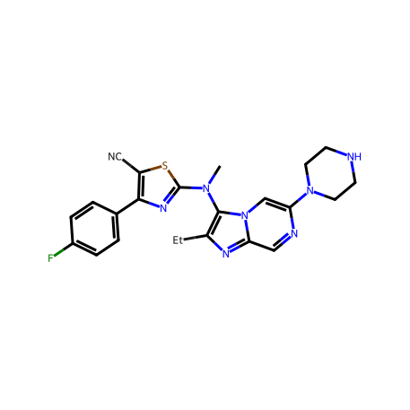 CCc1nc2cnc(N3CCNCC3)cn2c1N(C)c1nc(-c2ccc(F)cc2)c(C#N)s1